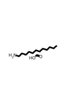 CCCCCCCCCCCCN.O=CO